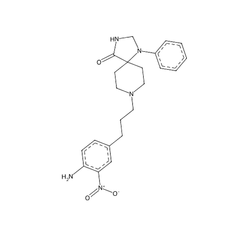 Nc1ccc(CCCN2CCC3(CC2)C(=O)NCN3c2ccccc2)cc1[N+](=O)[O-]